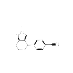 N#Cc1ccc(C2CCCc3n[nH]cc32)cc1